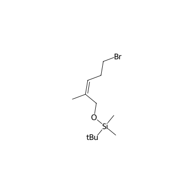 C/C(=C/CCBr)CO[Si](C)(C)C(C)(C)C